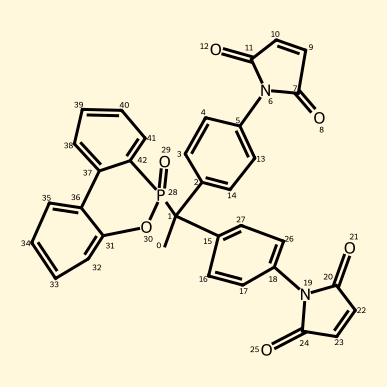 CC(c1ccc(N2C(=O)C=CC2=O)cc1)(c1ccc(N2C(=O)C=CC2=O)cc1)P1(=O)Oc2ccccc2-c2ccccc21